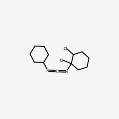 ClC1CCCCC1(Cl)N=C=NC1CCCCC1